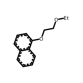 CCOCCOc1cccc2ccccc12